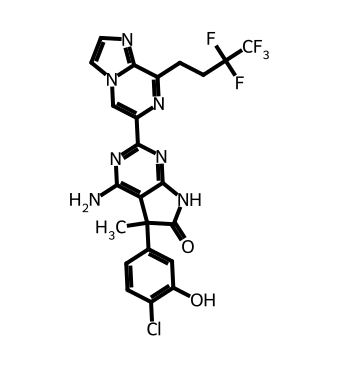 CC1(c2ccc(Cl)c(O)c2)C(=O)Nc2nc(-c3cn4ccnc4c(CCC(F)(F)C(F)(F)F)n3)nc(N)c21